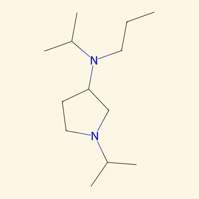 CCCN(C(C)C)C1CCN(C(C)C)C1